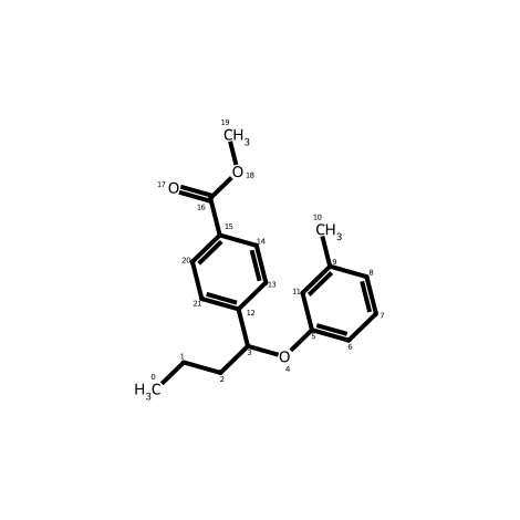 CCCC(Oc1cccc(C)c1)c1ccc(C(=O)OC)cc1